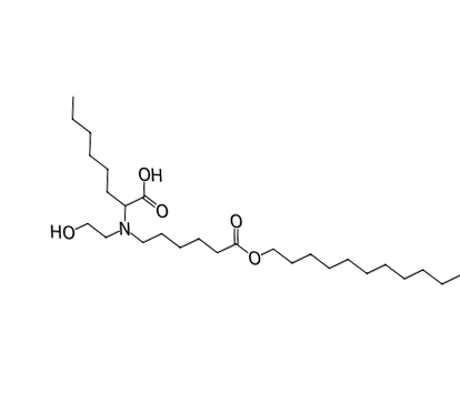 CCCCCCCCCCCOC(=O)CCCCCN(CCO)C(CCCCCC)C(=O)O